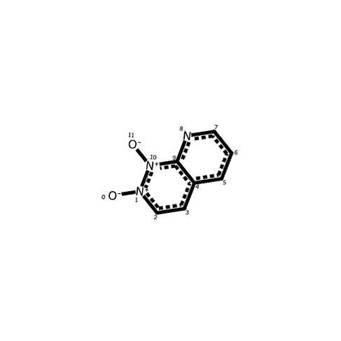 [O-][n+]1ccc2cccnc2[n+]1[O-]